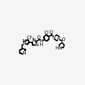 Cn1c(-c2cn(Cc3cccnc3)nc2C(F)(F)F)cnc1C(=O)Nc1ccc(C(=O)N2CCN(C(=O)[C@H]3CCNC3)CC2)c(Cl)c1